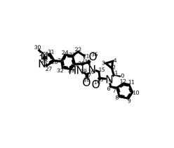 C[C@H](C1CC1)N(Cc1ccccc1)C(=O)CN1C(=O)N[C@]2(CCc3cc(-c4cnn(C)c4)ccc32)C1=O